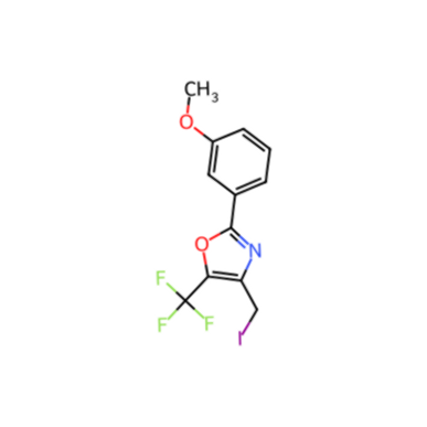 COc1cccc(-c2nc(CI)c(C(F)(F)F)o2)c1